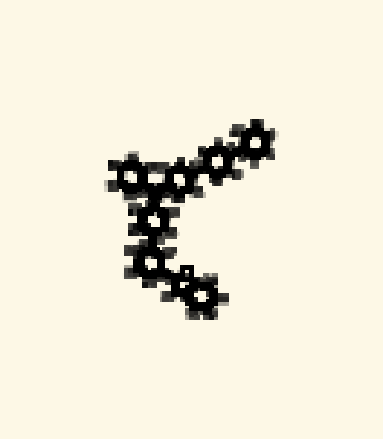 c1ccc(-c2ccc(-c3ccc(N(c4ccccc4)c4ccc(-c5cccc(-c6cc7ccccc7o6)c5)cc4)cc3)cc2)cc1